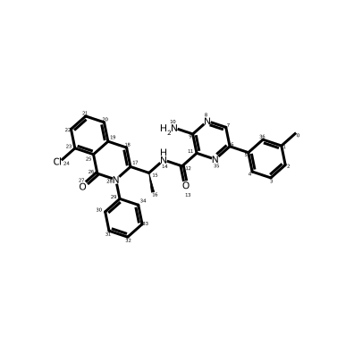 Cc1cccc(-c2cnc(N)c(C(=O)N[C@@H](C)c3cc4cccc(Cl)c4c(=O)n3-c3ccccc3)n2)c1